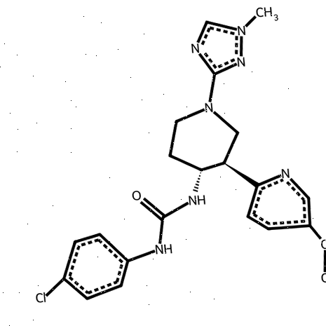 COc1ccc([C@@H]2CN(c3ncn(C)n3)CC[C@H]2NC(=O)Nc2ccc(Cl)cc2)nc1